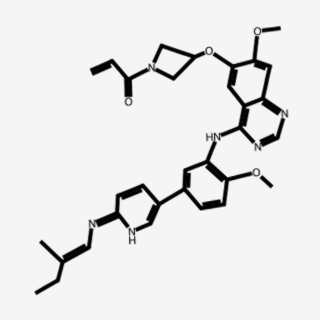 C=CC(=O)N1CC(Oc2cc3c(Nc4cc(-c5cc/c(=N/C=C(\C)CC)[nH]c5)ccc4OC)ncnc3cc2OC)C1